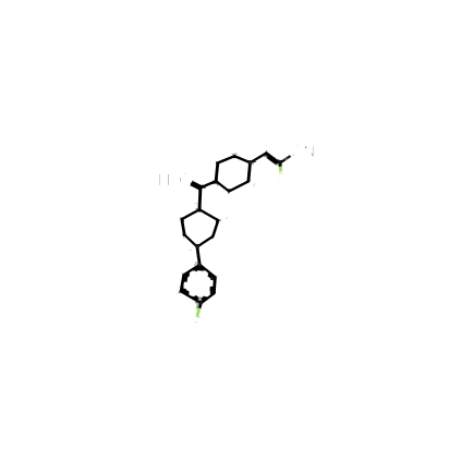 C=C(C1CCC(C=C(F)C#N)CC1)C1CCC(c2ccc(F)cc2)CC1